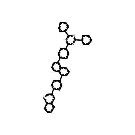 c1ccc(-c2nc(-c3ccccc3)nc(-c3ccc(-c4cccc5c(-c6ccc(-c7cnc8ccccc8c7)cc6)cccc45)cc3)n2)cc1